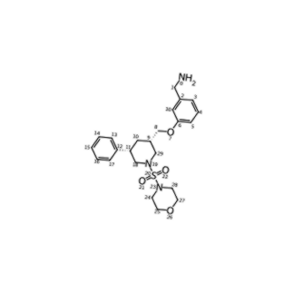 NCc1cccc(OC[C@H]2C[C@@H](c3ccccc3)CN(S(=O)(=O)N3CCOCC3)C2)c1